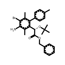 Cc1ccc(-c2c(C)c(Br)c(N)c(C)c2[C@H](OC(C)(C)C)C(=O)OCc2ccccc2)cc1